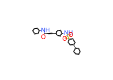 O=C(C#Cc1ccc(NS(=O)(=O)c2ccc(-c3ccccc3)cc2)cc1)Nc1ccccc1